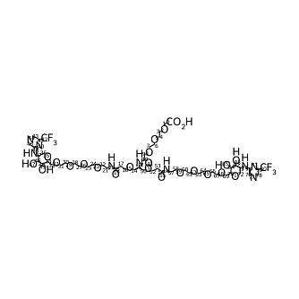 O=C(O)COCCOCCOCC(=O)NC(COCCC(=O)NCCOCCOCCOCCOCC1OC[C@H](NC2=NC(C(F)(F)F)CN=C2)[C@@H](O)[C@H]1O)COCCC(=O)NCCOCCOCCOCCOCC1OC[C@H](Nc2cncc(C(F)(F)F)n2)[C@@H](O)[C@H]1O